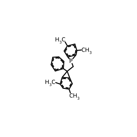 Cc1cc(C)c2c(c1)P2CC1(c2ccccc2)c2cc(C)cc(C)c21